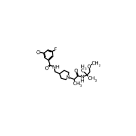 COCC(C)(C)NC(=O)C(C)N1CCC(CNC(=O)c2cc(F)cc(Cl)c2)CC1